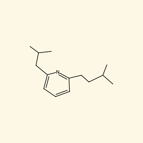 CC(C)CCc1cccc(CC(C)C)n1